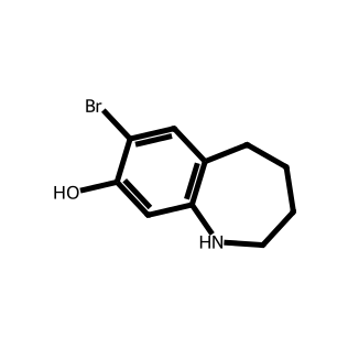 Oc1cc2c(cc1Br)CCCCN2